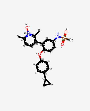 CCS(=O)(=O)Nc1ccc(Oc2ccc(C3CC3)cc2)c(-c2ccc(C)[n+]([O-])c2C)c1